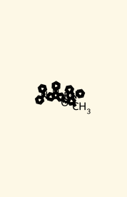 Cc1cc2c3c(c1)N(c1ccccc1)c1ccccc1B3c1cc3c(cc1O2)c1ccc(N(c2ccccc2)c2ccccc2)cc1n3-c1ccccc1